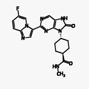 CNC(=O)[C@H]1CC[C@H](n2c(=O)[nH]c3cnc(-c4cnc5ccc(F)cn45)nc32)CC1